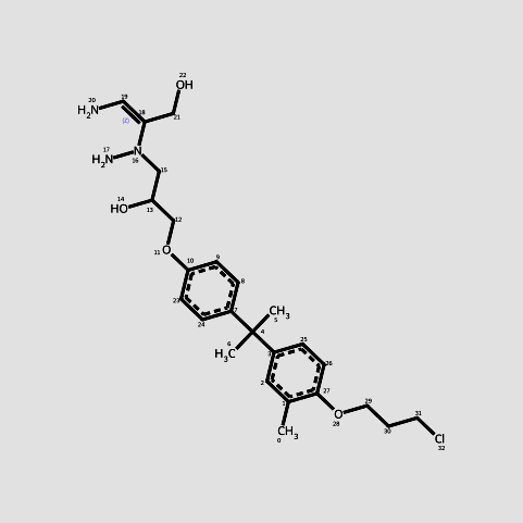 Cc1cc(C(C)(C)c2ccc(OCC(O)CN(N)/C(=C\N)CO)cc2)ccc1OCCCCl